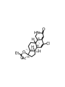 CCC(=O)O[C@]1(C(C)=O)CC[C@H]2[C@@H]3C=C(Cl)C4=CC(=O)NC[C@]4(C)[C@H]3CC[C@@]21C